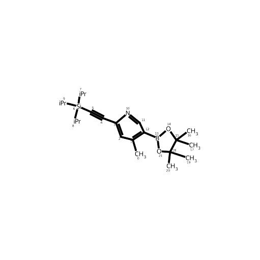 Cc1cc(C#C[Si](C(C)C)(C(C)C)C(C)C)ncc1B1OC(C)(C)C(C)(C)O1